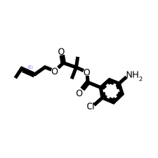 C/C=C/COC(=O)C(C)(C)OC(=O)c1cc(N)ccc1Cl